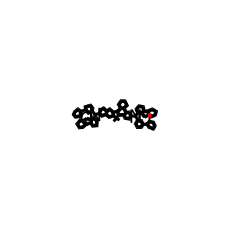 CC1(C)c2cc3cc(N(c4cccc(-c5ccccc5)c4)c4cccc5c4oc4ccccc45)ccc3cc2-c2c1c1ccc(N(c3cccc(-c4ccccc4)c3)c3cccc4c3oc3ccccc34)cc1c1ccccc21